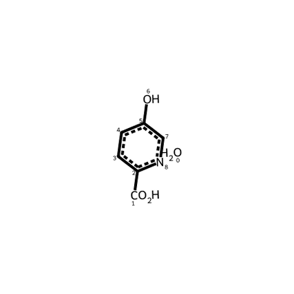 O.O=C(O)c1ccc(O)cn1